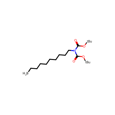 BCCCCCCCCCN(C(=O)OC(C)(C)C)C(=O)OC(C)(C)C